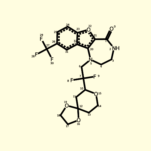 O=C1NCCN(CC(F)(F)C2CC3(CCO2)OCCO3)c2c1oc1ccc(C(F)(F)F)cc21